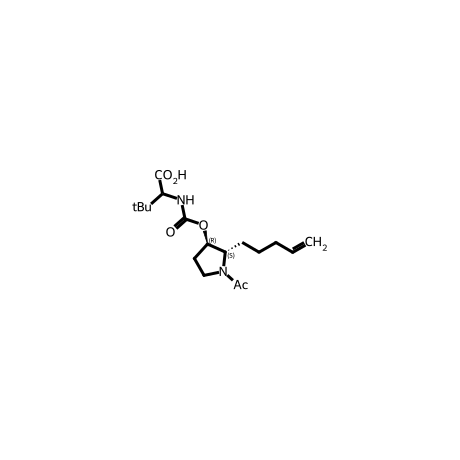 C=CCCC[C@H]1[C@H](OC(=O)NC(C(=O)O)C(C)(C)C)CCN1C(C)=O